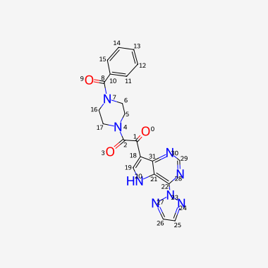 O=C(C(=O)N1CCN(C(=O)c2ccccc2)CC1)c1c[nH]c2c(-n3nccn3)ncnc12